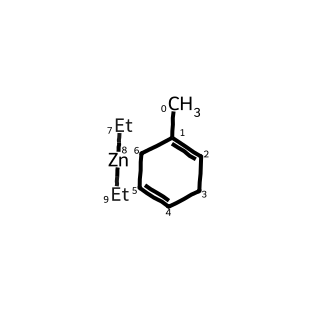 CC1=CCC=CC1.C[CH2][Zn][CH2]C